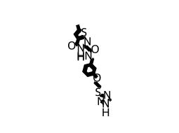 Cc1cc2c(=O)[nH]c(C(=O)NCc3cccc(OCCSc4nc[nH]n4)c3)nc2s1